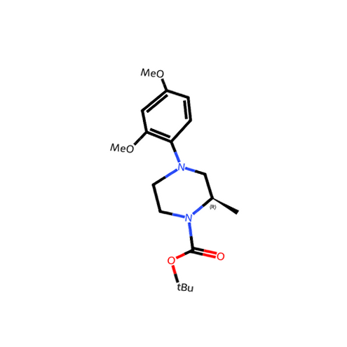 COc1ccc(N2CCN(C(=O)OC(C)(C)C)[C@H](C)C2)c(OC)c1